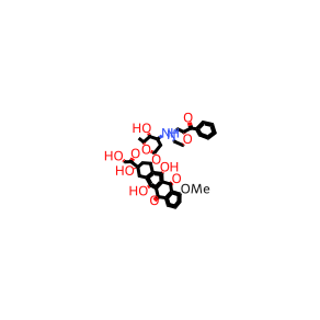 COc1cccc2c1C(=O)c1c(O)c3c(c(O)c1C2=O)C[C@@](O)(C(=O)CO)C[C@@H]3OC1CC(NN2CCOC(C(=O)c3ccccc3)C2)C(O)C(C)O1